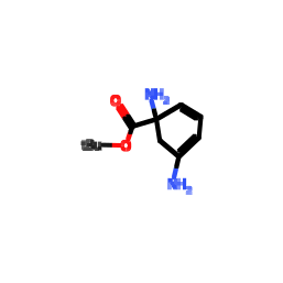 CC(C)(C)OC(=O)C1(N)C=CC=C(N)C1